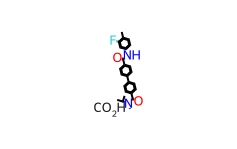 Cc1ccc(NC(=O)c2ccc(-c3ccc(C(=O)N(C)C(C)(C)C(=O)O)cc3)cc2)cc1F